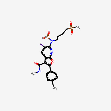 CNC(=O)c1c(-c2ccc(C)cc2)oc2nc(N(CCCCS(C)(=O)=O)[SH](=O)=O)c(I)cc12